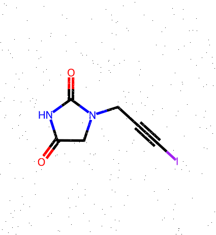 O=C1CN(CC#CI)C(=O)N1